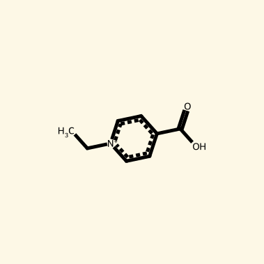 CC[n+]1ccc(C(=O)O)cc1